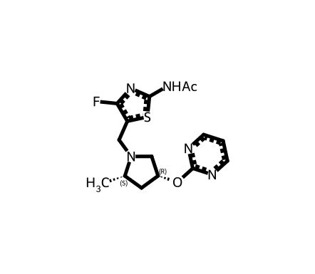 CC(=O)Nc1nc(F)c(CN2C[C@H](Oc3ncccn3)C[C@@H]2C)s1